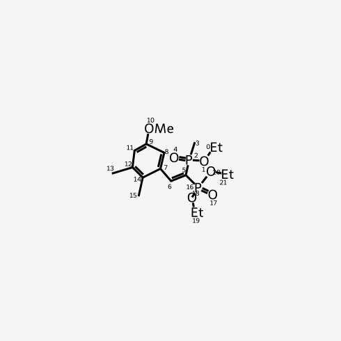 CCOP(C)(=O)/C(=C\c1cc(OC)cc(C)c1C)P(=O)(OCC)OCC